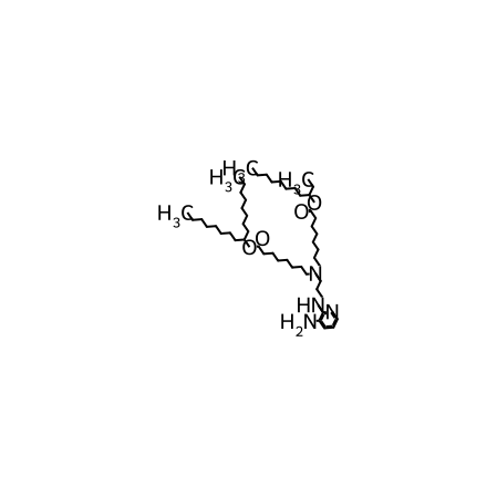 CCCCCCCCC(CC)OC(=O)CCCCCCCN(CCCCCCCC(=O)OC(CCCCCCCC)CCCCCCCC)CCCNc1ncccc1N